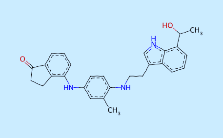 Cc1cc(Nc2cccc3c2CCC3=O)ccc1NCCc1c[nH]c2c(C(C)O)cccc12